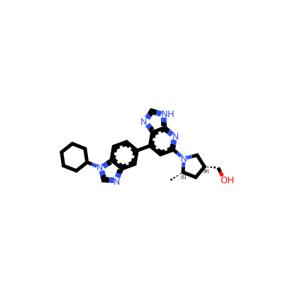 C[C@H]1C[C@@H](CO)CN1c1cc(-c2ccc3c(c2)ncn3C2CCCCC2)c2nc[nH]c2n1